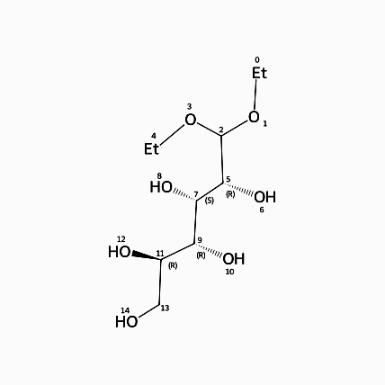 CCOC(OCC)[C@H](O)[C@@H](O)[C@H](O)[C@H](O)CO